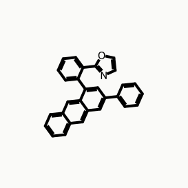 c1ccc(-c2cc(-c3ccccc3-c3ncco3)c3cc4ccccc4cc3c2)cc1